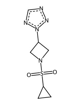 O=S(=O)(C1CC1)N1CC(n2ncnn2)C1